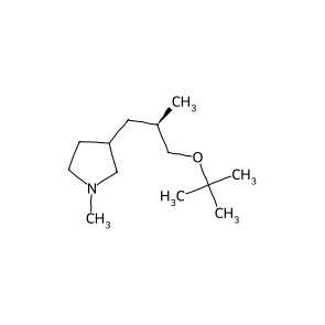 C[C@@H](COC(C)(C)C)CC1CCN(C)C1